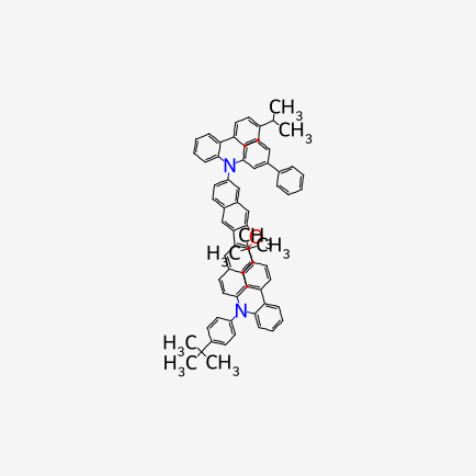 CC(C)c1ccc(-c2ccccc2N(c2cccc(-c3ccccc3)c2)c2ccc3cc4c(cc3c2)oc2cc3cc(N(c5ccc(C(C)(C)C)cc5)c5ccccc5-c5ccc(C(C)(C)C)cc5)ccc3cc24)cc1